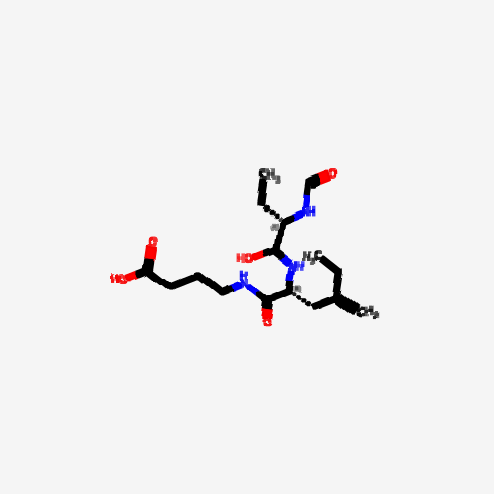 C=C(CC)C[C@@H](NC(O)[C@H](CC)NC=O)C(=O)NCCCC(=O)O